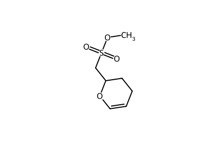 COS(=O)(=O)CC1CCC=CO1